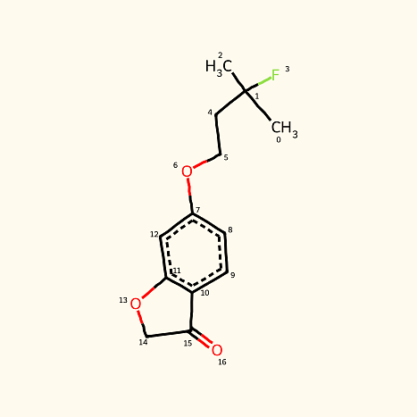 CC(C)(F)CCOc1ccc2c(c1)OCC2=O